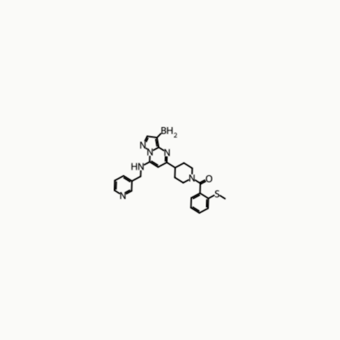 Bc1cnn2c(NCc3cccnc3)cc(C3CCN(C(=O)c4ccccc4SC)CC3)nc12